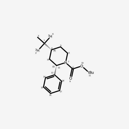 [2H]C([2H])(C)[C@@H]1CCN(C(=O)OC(C)(C)C)[C@H](c2ccccc2)C1